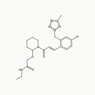 CCNC(=O)COC1CCCCN1C(=O)C=Cc1ccc(Cl)cc1Cn1nnc(C)n1